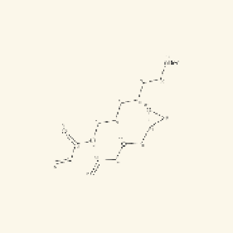 C=CC(=O)OCCCCCCCCCCCCCCCC.C=CCOCC1CO1